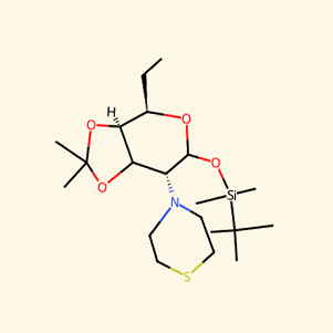 CC[C@H]1OC(O[Si](C)(C)C(C)(C)C)[C@H](N2CCSCC2)C2OC(C)(C)O[C@H]21